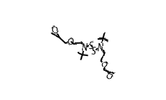 CC(C)(C)N(CCOCC1CO1)SSN(CCOCC1CO1)C(C)(C)C